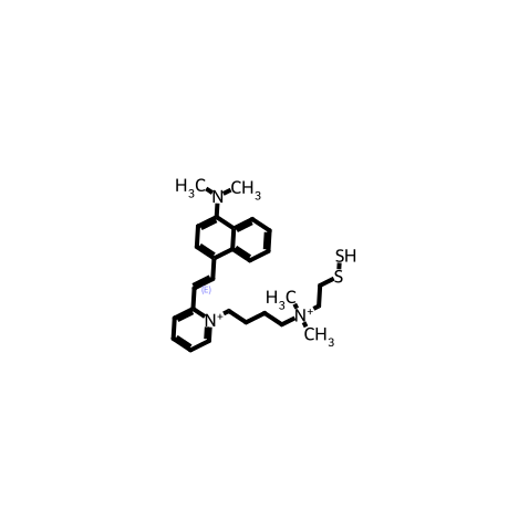 CN(C)c1ccc(/C=C/c2cccc[n+]2CCCC[N+](C)(C)CCSS)c2ccccc12